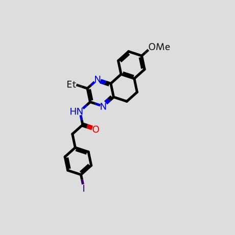 CCc1nc2c(nc1NC(=O)Cc1ccc(I)cc1)CCc1cc(OC)ccc1-2